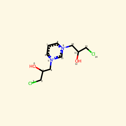 OC(CCl)C[n+]1ccc[n+](CC(O)CCl)c1